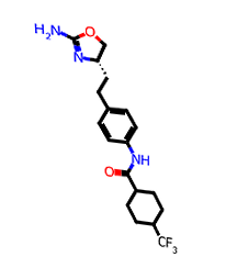 NC1=N[C@@H](CCc2ccc(NC(=O)C3CCC(C(F)(F)F)CC3)cc2)CO1